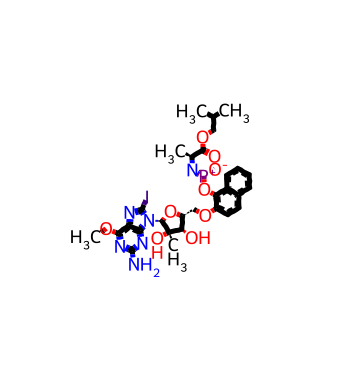 COc1nc(N)nc2c1nc(I)n2[C@@H]1O[C@H](COc2ccc3ccccc3c2O/[P+]([O-])=N/[C@@H](C)C(=O)OCC(C)C)[C@@H](O)[C@@]1(C)O